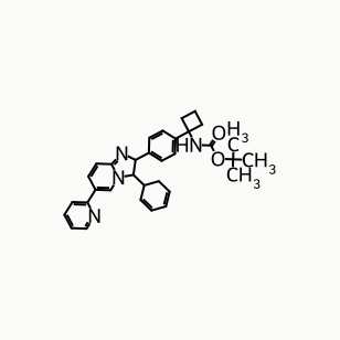 CC(C)(C)OC(=O)NC1(c2ccc(C3N=C4C=CC(c5ccccn5)=CN4C3C3C=CC=CC3)cc2)CCC1